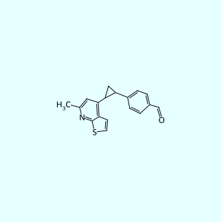 Cc1cc(C2CC2c2ccc(C=O)cc2)c2ccsc2n1